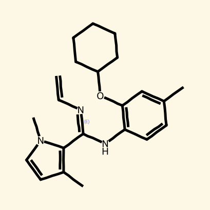 C=C/N=C(/Nc1ccc(C)cc1OC1CCCCC1)c1c(C)ccn1C